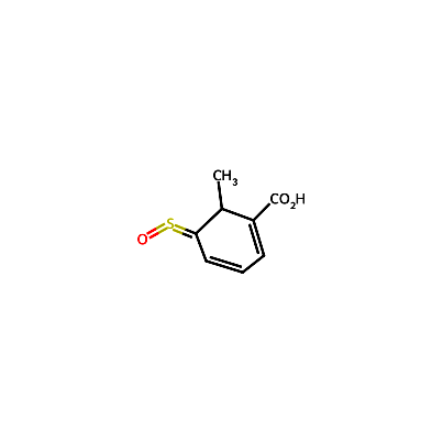 CC1C(C(=O)O)=CC=CC1=S=O